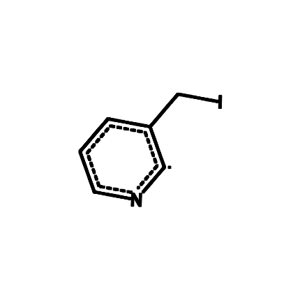 ICc1[c]nccc1